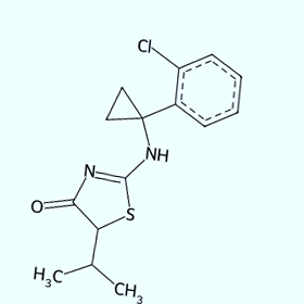 CC(C)C1SC(NC2(c3ccccc3Cl)CC2)=NC1=O